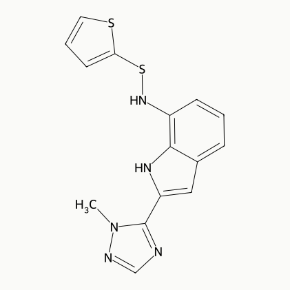 Cn1ncnc1-c1cc2cccc(NSc3cccs3)c2[nH]1